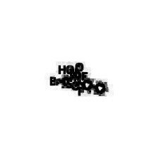 O=C1CN(C(=O)c2c(F)cc(-c3ccccc3)cc2F)C(c2cc(Br)cs2)N1O